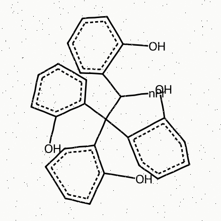 CCCC(c1ccccc1O)C(c1ccccc1O)(c1ccccc1O)c1ccccc1O